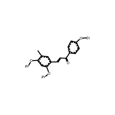 CCOc1ccc(C(=O)C=Cc2cc(C)c(OC(C)C)cc2OC(C)C)cc1